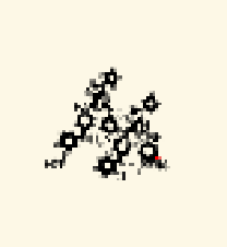 Cl.Cl.Cl.Cl.Cl.Cl.NC1CCC(Nc2nc(NN3CCC(Cc4ccc(F)c(F)c4)CC3)c3ncn(C4CCCC4)c3n2)CC1.NC1CCC(Nc2nc(NN3CCC(Cc4ccc(F)cc4Cl)CC3)c3ncn(C4CCCC4)c3n2)CC1